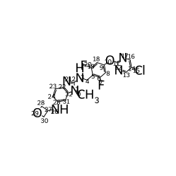 Cn1c(NCc2c(F)cc(Oc3ncc(Cl)cn3)cc2F)nc2ccc(NC3COC3)cc21